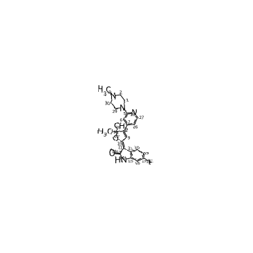 CN1CCN(c2cc(C3=CC(=C4C(=O)Nc5cc(F)ccc54)OC3(C)C)ccn2)CC1